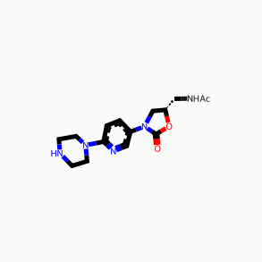 CC(=O)NC[C@H]1CN(c2ccc(N3CCNCC3)nc2)C(=O)O1